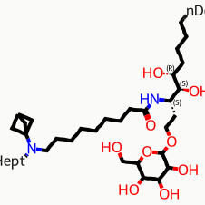 CCCCCCCCCCCCCC[C@@H](O)[C@@H](O)[C@H](CCOC1OC(CO)C(O)C(O)C1O)NC(=O)CCCCCCCCN(CCCCCCC)C12CC(C1)C2